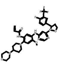 C=CC(=O)Nc1cc(Nc2cc(N3OCCC3c3ccc(F)c(C(F)(F)F)c3)ncn2)c(OC)cc1N1CCC(N2CCOCC2)CC1